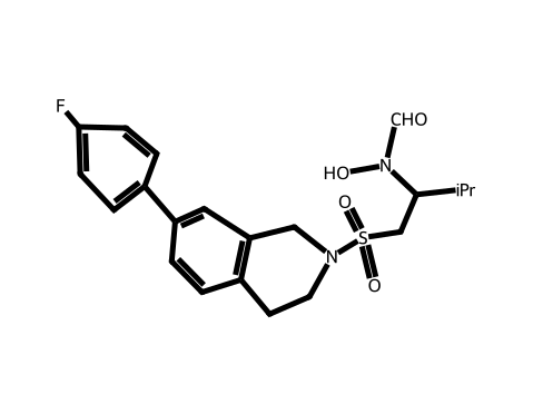 CC(C)C(CS(=O)(=O)N1CCc2ccc(-c3ccc(F)cc3)cc2C1)N(O)C=O